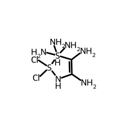 NC1=C(N)[SH](N)(N)(N)S(Cl)(Cl)N1